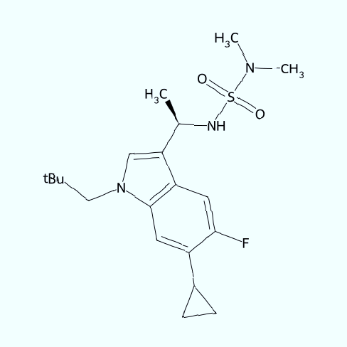 C[C@@H](NS(=O)(=O)N(C)C)c1cn(CC(C)(C)C)c2cc(C3CC3)c(F)cc12